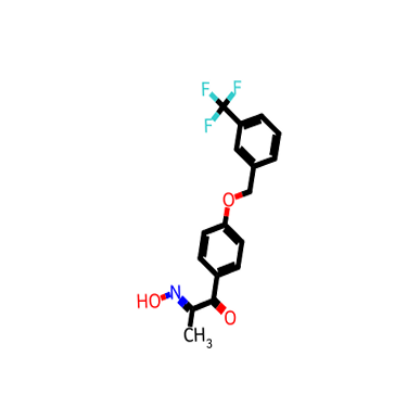 CC(=NO)C(=O)c1ccc(OCc2cccc(C(F)(F)F)c2)cc1